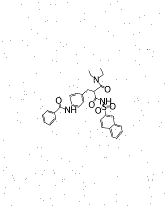 CCN(CC)C(=O)C(Cc1ccc(NC(=O)c2ccccc2)cc1)C(=O)NS(=O)(=O)c1ccc2ccccc2c1